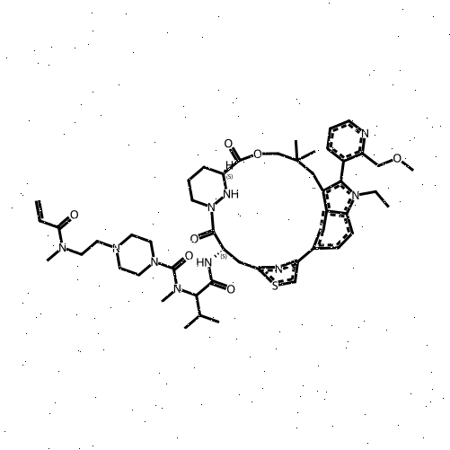 C=CC(=O)N(C)CCN1CCN(C(=O)N(C)C(C(=O)N[C@H]2Cc3nc(cs3)-c3ccc4c(c3)c(c(-c3cccnc3COC)n4CC)CC(C)(C)COC(=O)[C@@H]3CCCN(N3)C2=O)C(C)C)CC1